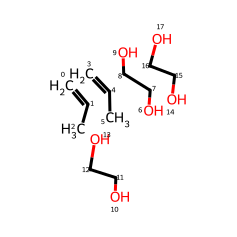 C=CC.C=CC.OCCO.OCCO.OCCO